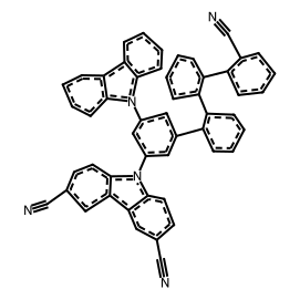 N#Cc1ccc2c(c1)c1cc(C#N)ccc1n2-c1cc(-c2ccccc2-c2ccccc2-c2ccccc2C#N)cc(-n2c3ccccc3c3ccccc32)c1